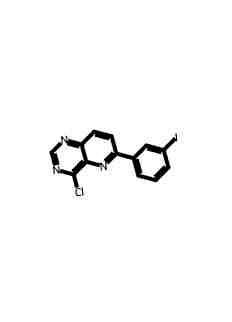 Clc1ncnc2ccc(-c3cccc(I)c3)nc12